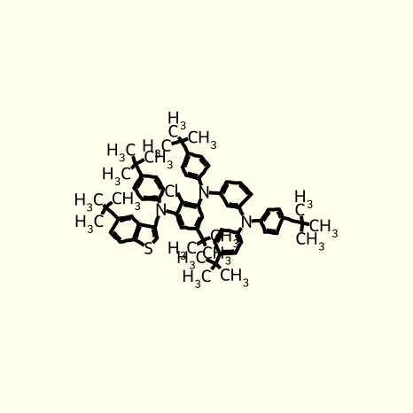 CC(C)(C)c1ccc(N(c2ccc(C(C)(C)C)cc2)c2cccc(N(c3ccc(C(C)(C)C)cc3)c3cc(C(C)(C)C)cc(N(c4ccc(C(C)(C)C)cc4)c4csc5ccc(C(C)(C)C)cc45)c3Cl)c2)cc1